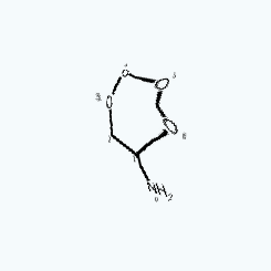 NC1COOOO1